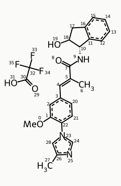 COc1cc(/C=C(\C)C(=O)N[C@H]2c3ccccc3CC2O)ccc1-n1cnc(C)c1.O=C(O)C(F)(F)F